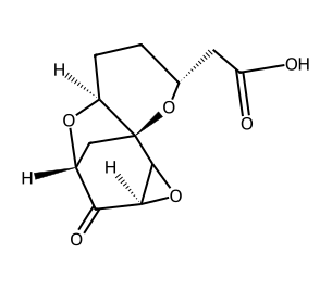 O=C(O)C[C@H]1CC[C@@H]2O[C@@H]3C[C@@]2(O1)C1O[C@H]1C3=O